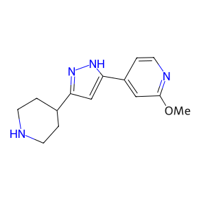 COc1cc(-c2cc(C3CCNCC3)n[nH]2)ccn1